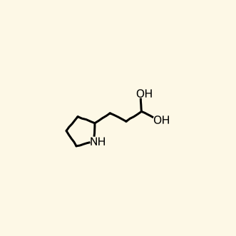 OC(O)CCC1CCCN1